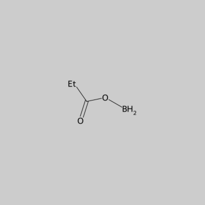 BOC(=O)CC